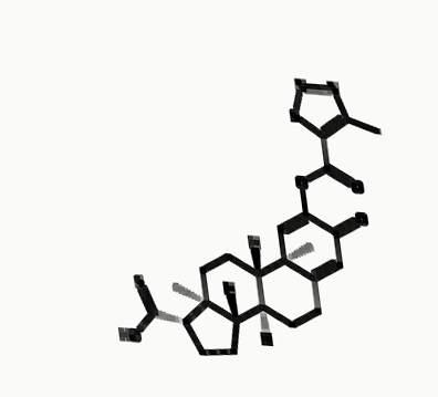 Cc1nnsc1C(=O)OC1=C[C@@]2(C)C(=CC1=O)CC[C@H]1[C@@H]3CC[C@H](C(O)=S)[C@@]3(C)CC[C@@H]12